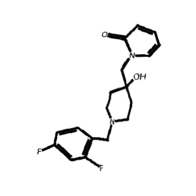 O=c1ccccn1CC1(O)CCN(Cc2ccc(F)cc2F)CC1